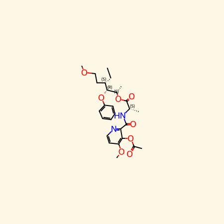 CC[C@@H](CCOC)[C@@H](Oc1ccccc1)[C@H](C)OC(=O)[C@H](C)NC(=O)c1nccc(OC)c1OC(C)=O